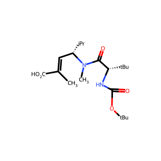 C/C(=C\[C@H](C(C)C)N(C)C(=O)[C@@H](NC(=O)OC(C)(C)C)C(C)(C)C)C(=O)O